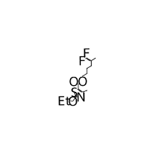 CCOc1nc(C)c(C(=O)OCCCCC(C)=C(F)F)s1